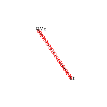 CCOCCOCCOCCOCCOCCOCCOCCOCCOCCOCCOCCOCCOCCOCCOCCOCCOCCOCCOCCOCCOCCOCCOCCOC